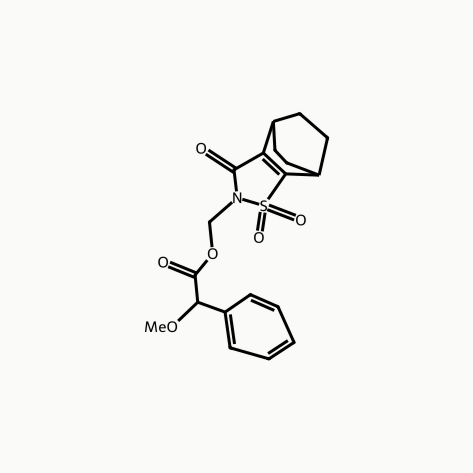 COC(C(=O)OCN1C(=O)C2=C(C3CCC2CC3)S1(=O)=O)c1ccccc1